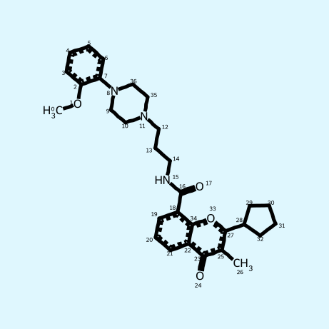 COc1ccccc1N1CCN(CCCNC(=O)c2cccc3c(=O)c(C)c(C4CCCC4)oc23)CC1